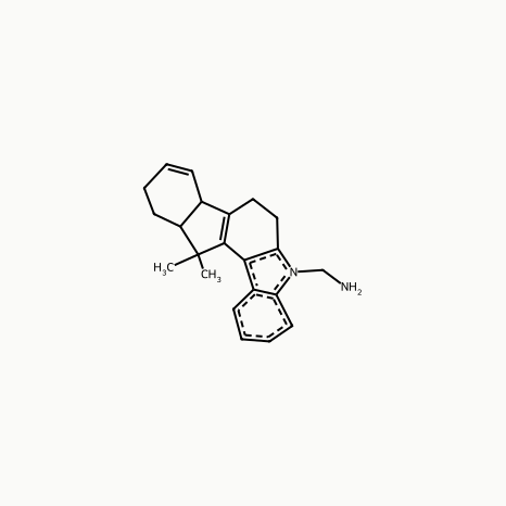 CC1(C)C2=C(CCc3c2c2ccccc2n3CN)C2C=CCCC21